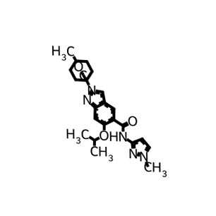 CC(C)Oc1cc2nn(C34CCC(C)(CC3)OC4)cc2cc1C(=O)Nc1ccn(C)n1